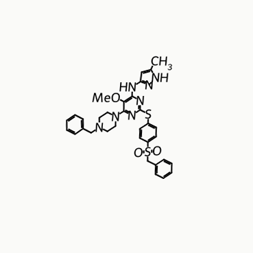 COc1c(Nc2cc(C)[nH]n2)nc(Sc2ccc(S(=O)(=O)Cc3ccccc3)cc2)nc1N1CCN(Cc2ccccc2)CC1